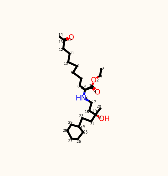 CCOC(=O)C(CCCCCCCC(C)=O)NCCC(C)(O)CCC1CCCCC1